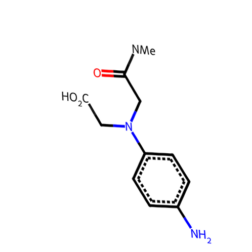 CNC(=O)CN(CC(=O)O)c1ccc(N)cc1